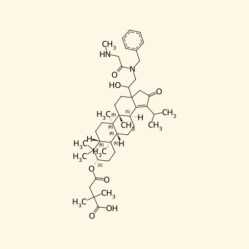 CNCC(=O)N(Cc1ccccc1)CC(O)C12CC[C@]3(C)[C@H](CC[C@@H]4[C@@]5(C)CC[C@H](OC(=O)CC(C)(C)C(=O)O)C(C)(C)[C@@H]5CC[C@]43C)C1=C(C(C)C)C(=O)C2